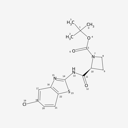 CC(C)(C)OC(=O)N1CC[C@H]1C(=O)Nc1nc2cc(Cl)ccc2s1